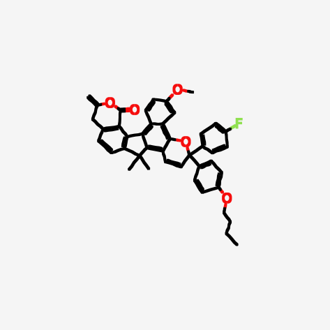 C=C1Cc2ccc3c(c2C(=O)O1)-c1c(c2c(c4cc(OC)ccc14)OC(c1ccc(F)cc1)(c1ccc(OCCCC)cc1)C=C2)C3(C)C